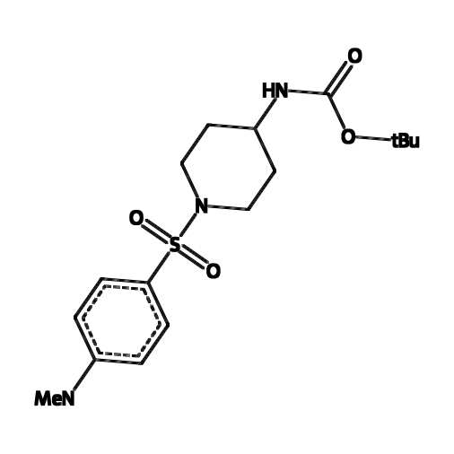 CNc1ccc(S(=O)(=O)N2CCC(NC(=O)OC(C)(C)C)CC2)cc1